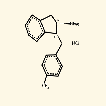 CN[C@H]1Cc2ccccc2[C@H]1Cc1ccc(C(F)(F)F)cc1.Cl